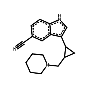 N#Cc1ccc2[nH]cc(C3CC3CN3CCCCC3)c2c1